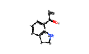 COC(=O)c1cccc2c1NCC2